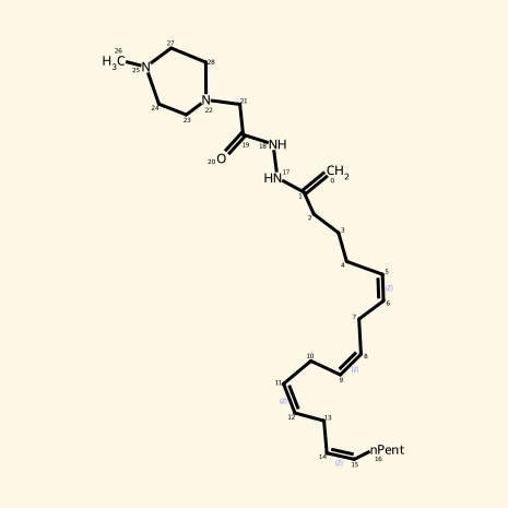 C=C(CCC/C=C\C/C=C\C/C=C\C/C=C\CCCCC)NNC(=O)CN1CCN(C)CC1